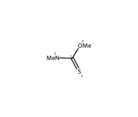 [CH2]OC(=S)NC